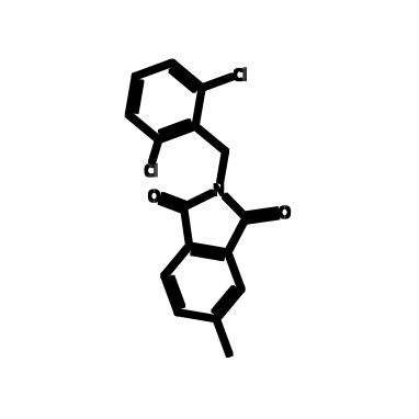 Cc1ccc2c(c1)C(=O)N(Cc1c(Cl)cccc1Cl)C2=O